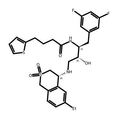 CCc1ccc2c(c1)[C@@H](NC[C@@H](O)[C@H](Cc1cc(F)cc(F)c1)NC(=O)CCCc1cccs1)CS(=O)(=O)C2